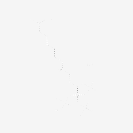 CN(C)CCCCCCNCCC[Si](O[Si](C)(C)C)(O[Si](C)(C)C)O[Si](C)(C)C.Cl